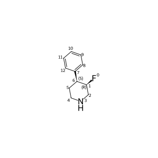 F[C@H]1CNCC[C@H]1c1ccccc1